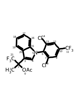 CC(=O)OC(C)(c1cn(-c2c(Cl)cc(C(F)(F)F)cc2Cl)c2ccccc12)C(F)(F)F